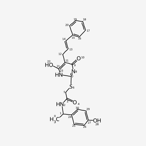 CC(NC(=O)CSc1nc(=O)c(CC=Cc2ccccc2)c(O)[nH]1)c1ccc(O)cc1